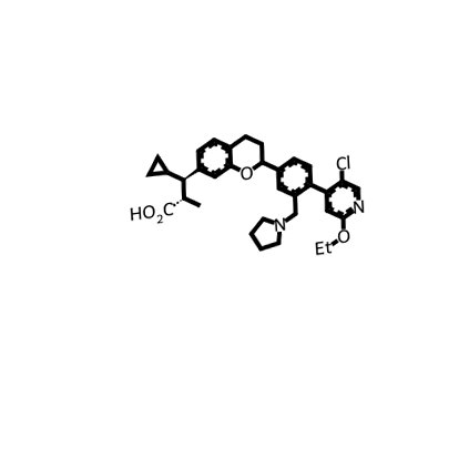 CCOc1cc(-c2ccc(C3CCc4ccc([C@H](C5CC5)[C@H](C)C(=O)O)cc4O3)cc2CN2CCCC2)c(Cl)cn1